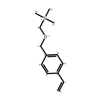 C=Cc1ccc(COC[Si](C)(C)C)cc1